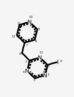 Ic1ncnc(Cc2ccncc2)n1